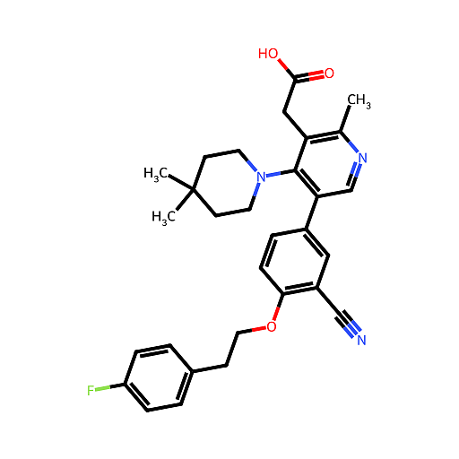 Cc1ncc(-c2ccc(OCCc3ccc(F)cc3)c(C#N)c2)c(N2CCC(C)(C)CC2)c1CC(=O)O